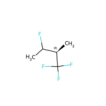 CC(F)[C@@H](C)C(F)(F)F